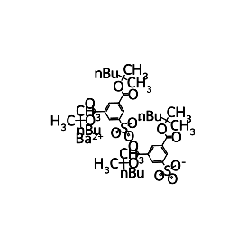 CCCCC(C)(C)OC(=O)c1cc(C(=O)OC(C)(C)CCCC)cc(S(=O)(=O)[O-])c1.CCCCC(C)(C)OC(=O)c1cc(C(=O)OC(C)(C)CCCC)cc(S(=O)(=O)[O-])c1.[Ba+2]